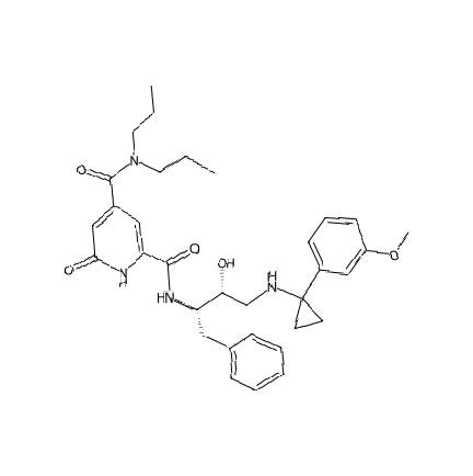 CCCN(CCC)C(=O)c1cc(C(=O)N[C@@H](Cc2ccccc2)[C@H](O)CNC2(c3cccc(OC)c3)CC2)[nH]c(=O)c1